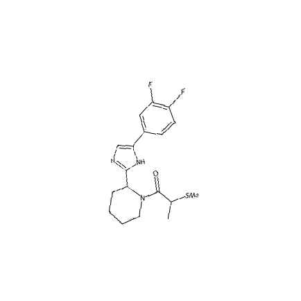 CSC(C)C(=O)N1CCCCC1c1ncc(-c2ccc(F)c(F)c2)[nH]1